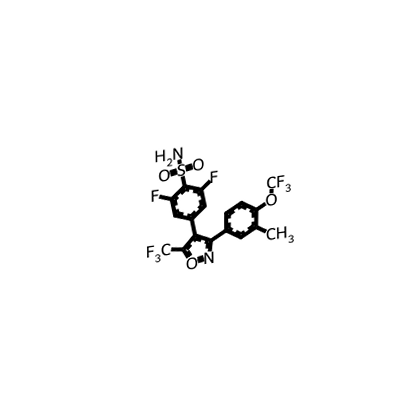 Cc1cc(-c2noc(C(F)(F)F)c2-c2cc(F)c(S(N)(=O)=O)c(F)c2)ccc1OC(F)(F)F